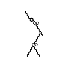 CCCCCCCCC(CCCCCCCC)OC(=O)CCCCCCCN(CC)CCCCCCC(=O)OCc1ccc(CCCCCC)cc1